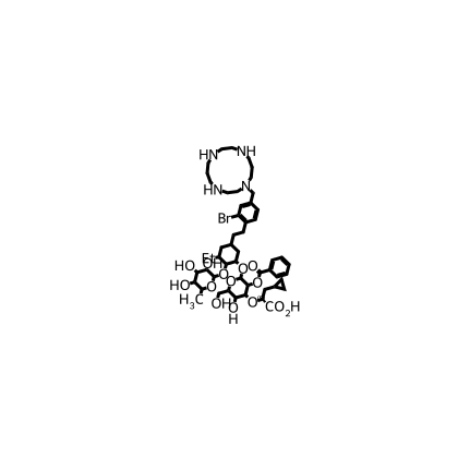 CCC1CC(CCc2ccc(CN3CCCNCCNCCCNCC3)cc2Br)CC(OC2OC(CO)C(O)C(O[C@@H](CC3CC3)C(=O)O)C2OC(=O)c2ccccc2)C1OC1OC(C)C(O)C(O)C1O